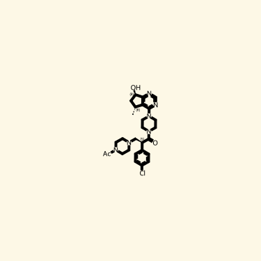 CC(=O)N1CCN(C[C@@H](C(=O)N2CCN(c3ncnc4c3[C@H](C)C[C@H]4O)CC2)c2ccc(Cl)cc2)CC1